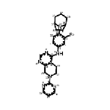 Fc1cc(Nc2ncnc3c2CCN(c2ncccn2)C3)ccc1N1C2CCCC1CC2